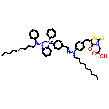 CCCCCCCCCN(N=Cc1ccc([N+](CNN(CCCCCCCCC)c2ccccc2)(c2ccccc2)c2ccccc2)cc1)c1ccc(C=C2SC(=S)N(CC(=O)O)C2=O)cc1